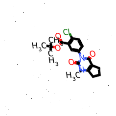 Cn1c2c(c(=O)n(-c3ccc(Cl)c(C(=O)OC(C)(C)C)c3)c1=O)CCC2